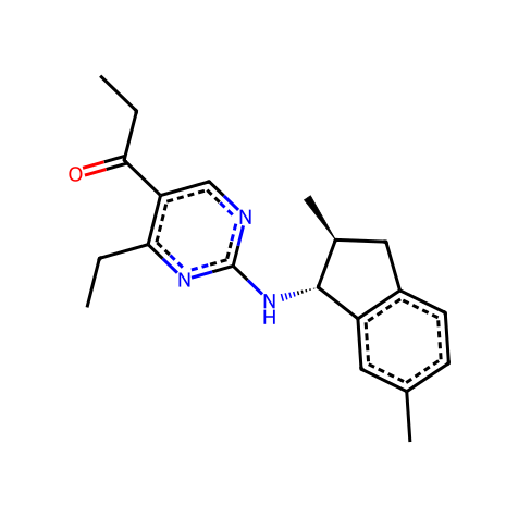 CCC(=O)c1cnc(N[C@H]2c3cc(C)ccc3C[C@@H]2C)nc1CC